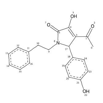 CC(=O)C1=C(O)C(=O)N(CCc2ccccc2)C1c1ccc(O)cc1